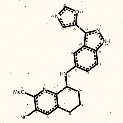 COc1nc2c(cc1C#N)CCC[C@@H]2Nc1ccc2[nH]nc(-c3cnco3)c2c1